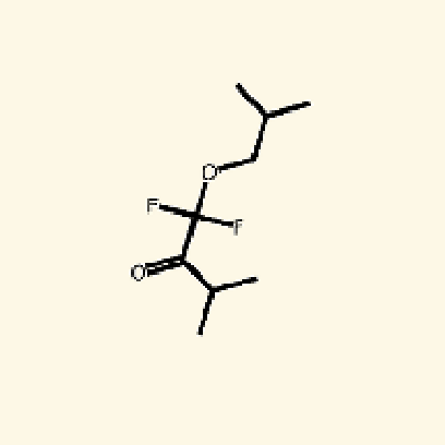 CC(C)COC(F)(F)C(=O)C(C)C